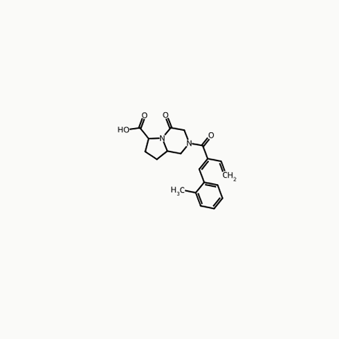 C=CC(=Cc1ccccc1C)C(=O)N1CC(=O)N2C(CCC2C(=O)O)C1